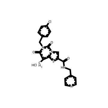 Cc1c(=O)n(Cc2ccc(Cl)cc2)c(=O)n2cc(C(=O)NCc3ccncc3)sc12.Cl